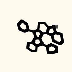 C1=Cc2c(n(-c3ccccc3)c3c4c(n(-c5ccccc5)c23)CCc2[nH]c3ccccc3c2-4)CC1